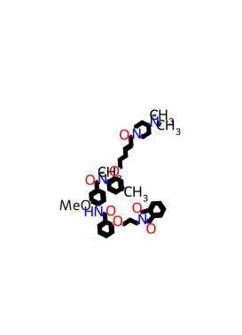 COc1cc(C(=O)N(C)c2ccc(C)cc2OCCC/C=C/C(=O)N2CCC(N(C)C)CC2)ccc1NC(=O)c1ccccc1OCCCN1C(=O)c2ccccc2C1=O